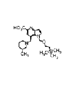 C[C@H]1CCCN(Cc2cc(C(=O)O)nc3ccn(COCC[Si](C)(C)C)c23)C1